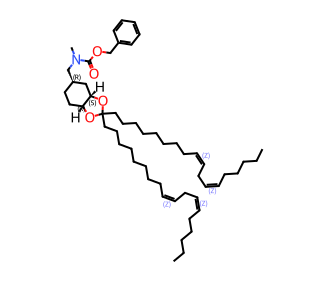 CCCCC/C=C\C/C=C\CCCCCCCCC1(CCCCCCCC/C=C\C/C=C\CCCCC)O[C@H]2C[C@H](CN(C)C(=O)OCc3ccccc3)CC[C@H]2O1